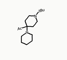 CC(=O)C1(N2CCCCC2)CCN(C(C)(C)C)CC1